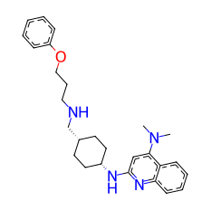 CN(C)c1cc(N[C@H]2CC[C@@H](CNCCCOc3ccccc3)CC2)nc2ccccc12